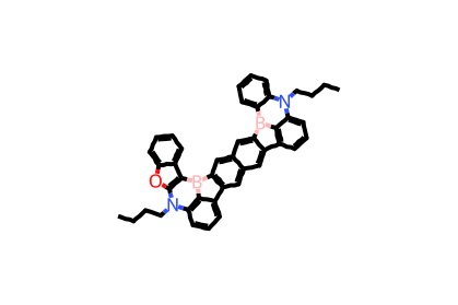 CCCCN1c2ccccc2B2c3cc4cc5c(cc4cc3-c3cccc1c32)-c1cccc2c1B5c1c(oc3ccccc13)N2CCCC